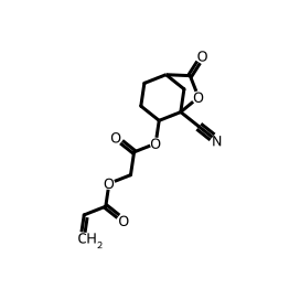 C=CC(=O)OCC(=O)OC1CCC2CC1(C#N)OC2=O